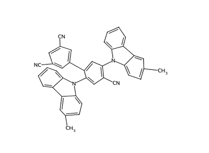 Cc1ccc2c(c1)c1ccccc1n2-c1cc(-c2cc(C#N)cc(C#N)c2)c(-n2c3ccccc3c3cc(C)ccc32)cc1C#N